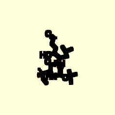 CC[C@H](C)[C@H](NC(=O)OC(C)(C)C)C(=O)NC(CC(C)C)C(O)CC[C]=O